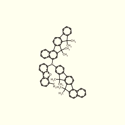 Cc1cccc2c1oc1c(N(c3ccc4c(c3)C(C)(C)c3c-4ccc4c3C(C)(C)c3ccc5ccccc5c3-4)c3cc4c(c5ccccc35)-c3ccc5c(c3C4(C)C)C(C)(C)c3ccccc3-5)cccc12